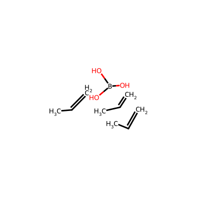 C=CC.C=CC.C=CC.OB(O)O